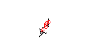 C=CCOC(=O)CC(=C)C(=O)OCC=C.C=CCc1cc(CC=C)c(OC)c(CC=C)c1